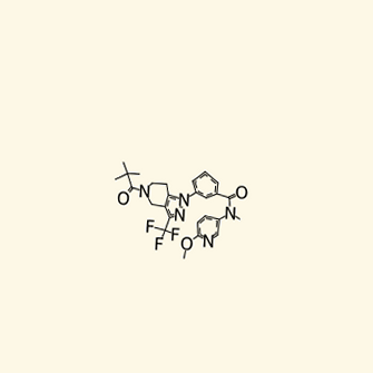 COc1ccc(N(C)C(=O)c2cccc(-n3nc(C(F)(F)F)c4c3CCN(C(=O)C(C)(C)C)C4)c2)cn1